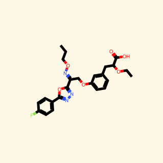 CCCO/N=C(\COc1cccc(CC(OCC)C(=O)O)c1)c1nnc(-c2ccc(F)cc2)o1